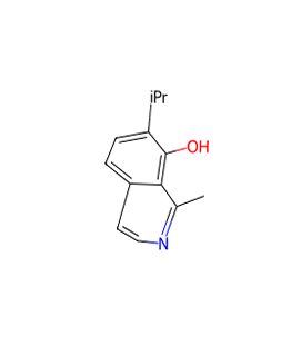 Cc1nccc2ccc(C(C)C)c(O)c12